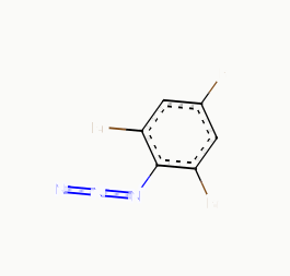 [N-]=[N+]=Nc1c(Br)cc(Br)cc1Br